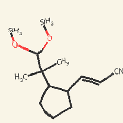 CC(C)(C(O[SiH3])O[SiH3])C1CCCC1C=CC#N